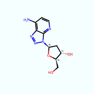 Nc1ccnc2c1nnn2[C@H]1C[C@H](O)[C@@H](CO)O1